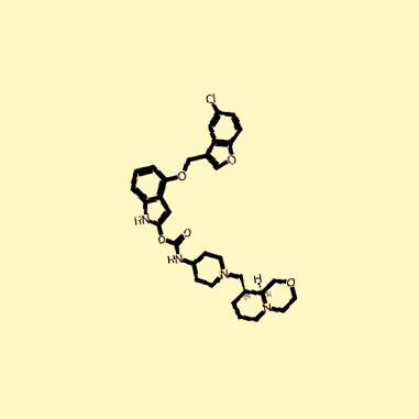 O=C(NC1CCN(C[C@@H]2CCCN3CCOC[C@H]23)CC1)Oc1cc2c(OCc3coc4ccc(Cl)cc34)cccc2[nH]1